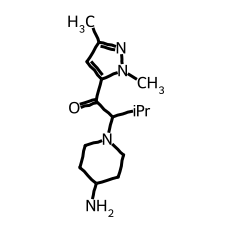 Cc1cc(C(=O)C(C(C)C)N2CCC(N)CC2)n(C)n1